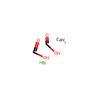 Br.O=CO.O=CO.[CaH2]